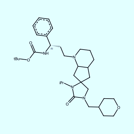 CC(C)N1C(=O)N(CC2CCOCC2)CC12CC1CCCN(CC[C@H](NC(=O)OC(C)(C)C)c3ccccc3)C1C2